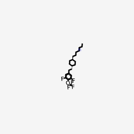 CC/C=C/CCC[C@H]1CC[C@H](CCc2cc(F)c(OC(F)(F)F)c(F)c2)CC1